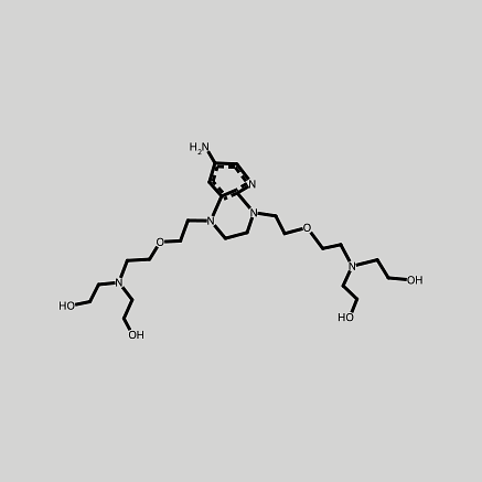 Nc1cnc2c(c1)N(CCOCCN(CCO)CCO)CCN2CCOCCN(CCO)CCO